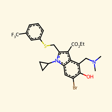 CCOC(=O)c1c(CSc2cccc(C(F)(F)F)c2)n(C2CC2)c2cc(Br)c(O)c(CN(C)C)c12